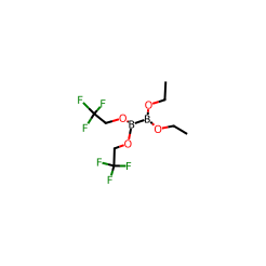 CCOB(OCC)B(OCC(F)(F)F)OCC(F)(F)F